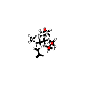 C=C(C)C(=O)OC(NS(=O)(=O)F)(NS(=O)(=O)F)C(NS(=O)(=O)F)(NS(=O)(=O)F)NS(=O)(=O)F